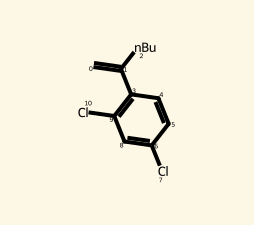 C=C(CCCC)c1ccc(Cl)cc1Cl